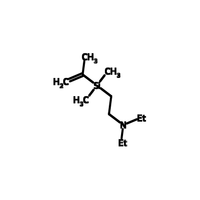 C=C(C)[Si](C)(C)CCN(CC)CC